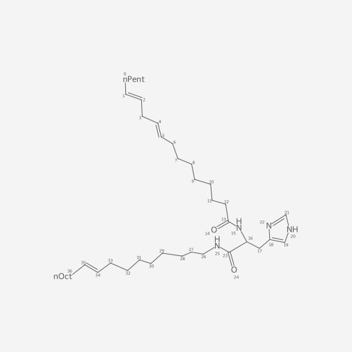 CCCCCC=CCC=CCCCCCCCC(=O)NC(Cc1c[nH]cn1)C(=O)NCCCCCCCCC=CCCCCCCCC